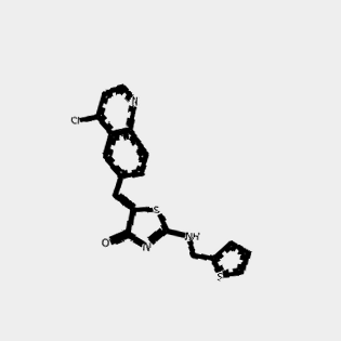 O=C1N=C(NCc2cccs2)S/C1=C\c1ccc2nccc(Cl)c2c1